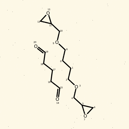 C(CCOCC1CO1)COCC1CO1.O=CCCCC=O